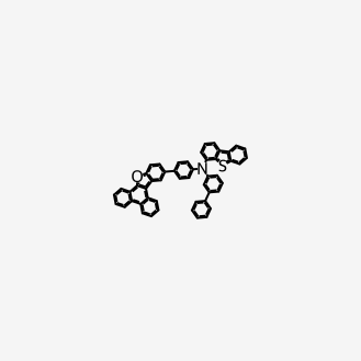 c1ccc(-c2cccc(N(c3ccc(-c4ccc5oc6c7ccccc7c7ccccc7c6c5c4)cc3)c3cccc4c3sc3ccccc34)c2)cc1